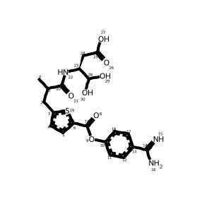 CC(Cc1ccc(C(=O)Oc2ccc(C(=N)N)cc2)s1)C(=O)N[C@@H](CC(=O)O)C(O)O